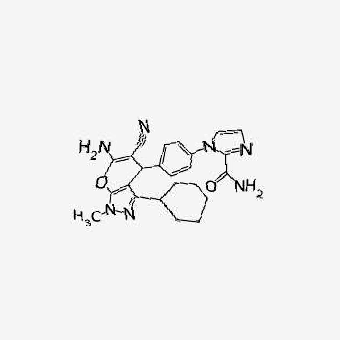 Cn1nc(C2CCCCC2)c2c1OC(N)=C(C#N)C2c1ccc(-n2ccnc2C(N)=O)cc1